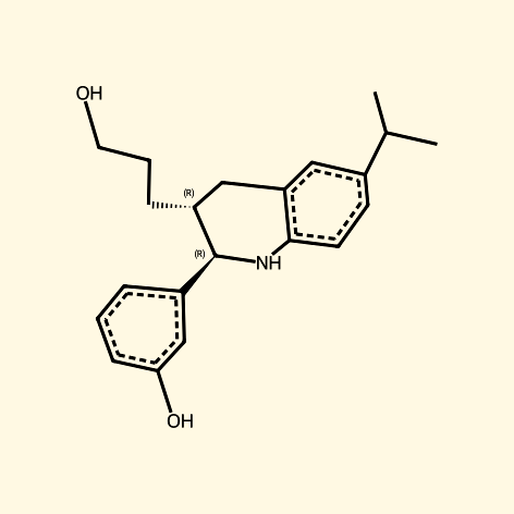 CC(C)c1ccc2c(c1)C[C@@H](CCCO)[C@H](c1cccc(O)c1)N2